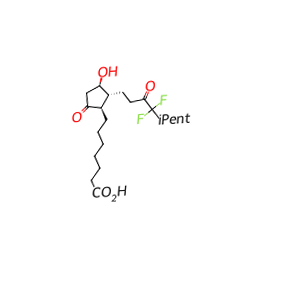 CCCC(C)C(F)(F)C(=O)CC[C@H]1[C@H](O)CC(=O)[C@@H]1CCCCCCC(=O)O